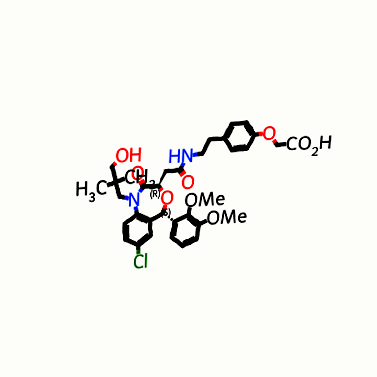 COc1cccc([C@H]2O[C@H](CC(=O)NCCc3ccc(OCC(=O)O)cc3)C(=O)N(CC(C)(C)CO)c3ccc(Cl)cc32)c1OC